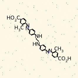 Cc1cc(C(=O)O)ccc1/N=N/c1ccc(NCCNc2ccc(/N=N/c3ccc(C(=O)O)cc3C)cc2)cc1